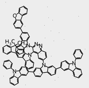 CC1(C)c2ccccc2-c2cc3c4ccccc4n(-c4c(-n5c6ccccc6c6cc(-c7ccc8oc9ccccc9c8c7)ccc65)nnc5ccc(-n6c7cc(-c8ccc9c(c8)c8ccccc8n9-c8ccccc8)ccc7c7ccc(-c8ccc9c(c8)c8ccccc8n9-c8ccccc8)cc76)cc45)c3cc21